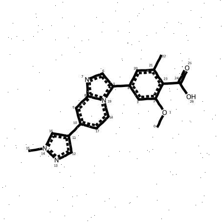 COc1cc(-c2cnc3cc(-c4cnn(C)c4)ccn23)cc(C)c1C(=O)O